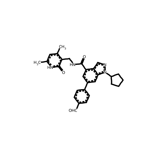 Cc1cc(C)c(CNC(=O)c2cc(-c3ccc(C=O)cc3)cc3c2cnn3C2CCCC2)c(=O)[nH]1